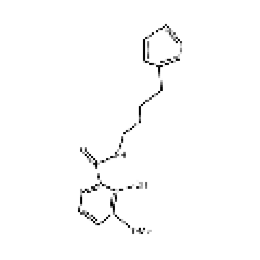 COc1ccnc(C(=O)NCCCCc2ccccc2)c1O